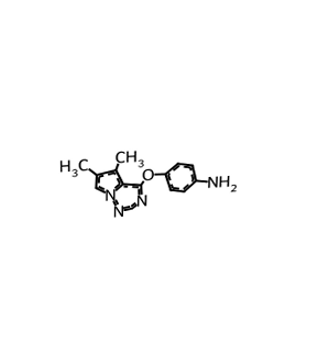 Cc1cn2ncnc(Oc3ccc(N)cc3)c2c1C